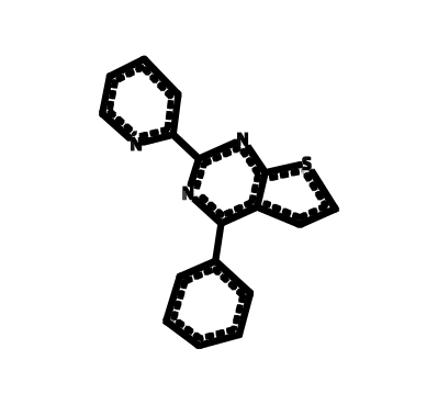 c1ccc(-c2nc(-c3ccccn3)nc3sccc23)cc1